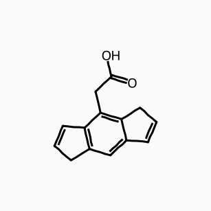 O=C(O)Cc1c2c(cc3c1CC=C3)CC=C2